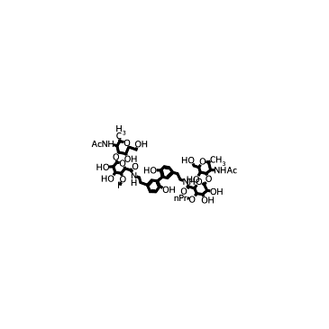 CCCOC1C(C(=O)NCCc2ccc(O)c(-c3cc(CCNC(=O)C4OC(OC5C(O)C(CO)OC(C)C5NC(C)=O)C(O)C(O)C4OF)ccc3O)c2)OC(OC2C(O)C(CO)OC(C)C2NC(C)=O)C(O)C1O